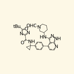 CC(C)(C)c1nc(C(=O)NC2(c3ccc(-c4ccnc5[nH]nc(NC6CCCN(C=O)C6)c45)cc3)CC2)no1